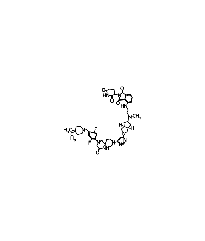 CN(CCNc1cccc2c1C(=O)N(C1CCC(=O)NC1=O)C2=O)[C@@H]1C[C@@H]2CN(c3cc(N4CCC5(CC4)CN(c4cc(F)c(CN6CCC(C)(C)CC6)cc4F)CC(=O)N5)ncn3)C[C@@H]2C1